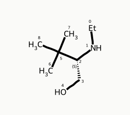 CCN[C@H](CO)C(C)(C)C